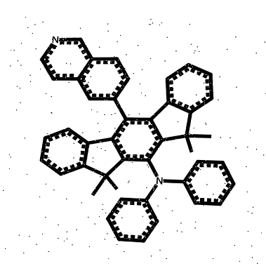 CC1(C)c2ccccc2-c2c(-c3ccc4cnccc4c3)c3c(c(N(c4ccccc4)c4ccccc4)c21)C(C)(C)c1ccccc1-3